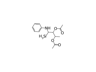 CC(=O)OC(C)C(OC(C)=O)C([SiH3])Nc1ccccc1